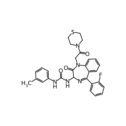 Cc1cccc(NC(=O)NC2N=C(c3ccccc3F)c3ccccc3N(CC(=O)N3CCSCC3)C2=O)c1